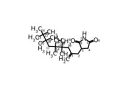 C=C(CC1CC(=O)NC1=O)CC(C)(C)C(C)(C)CC(C)(C)C(C)(C)C